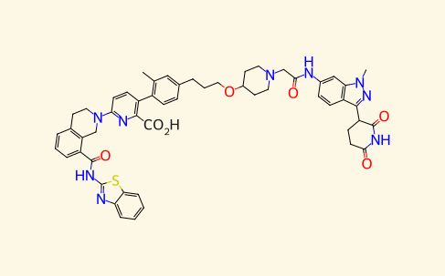 Cc1cc(CCCOC2CCN(CC(=O)Nc3ccc4c(C5CCC(=O)NC5=O)nn(C)c4c3)CC2)ccc1-c1ccc(N2CCc3cccc(C(=O)Nc4nc5ccccc5s4)c3C2)nc1C(=O)O